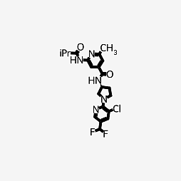 Cc1cc(C(=O)N[C@@H]2CCN(c3ncc(C(F)F)cc3Cl)C2)cc(NC(=O)C(C)C)n1